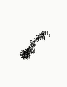 [2H]C1([2H])C([2H])([2H])C([2H])([2H])C([2H])(Sc2ncc(COc3ccc(C#CCOC(=O)NC4CCN(C)CC4)c(F)c3)n2-c2cccnc2)C1([2H])[2H]